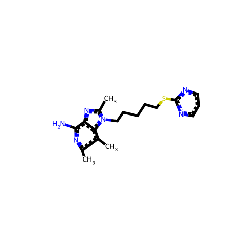 Cc1nc(N)c2nc(C)n(CCCCCSc3ncccn3)c2c1C